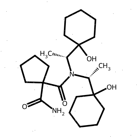 C[C@@H](N(C(=O)C1(C(N)=O)CCCC1)[C@H](C)C1(O)CCCCC1)C1(O)CCCCC1